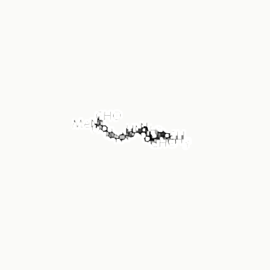 CNC(=O)N(CCC=O)c1ccc(N2CCC(CN3CCN(c4ccc(-c5cc6c(-c7cccc(N(C=O)CCn8c(C)cc9c8CC(C)(C)C9)c7C)ncnc6[nH]5)cn4)CC3)CC2)cc1